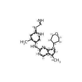 Cc1c/c(=N/C=N)[nH]cc1Nc1ncc2c(C)cn(C3CCOCC3)c2n1